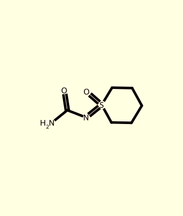 NC(=O)N=S1(=O)CCCCC1